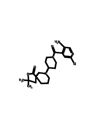 CC1(C)CC2(CCCN(C3CCN(C(=O)c4cc(Cl)ncc4N)CC3)C2)C(=O)O1